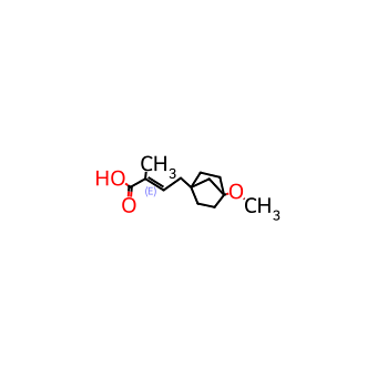 COC12CCC(C/C=C(\C)C(=O)O)(CC1)C2